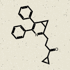 O=C(CCC1=NC(c2ccccc2)=C(c2ccccc2)C2CC12)C1CC1